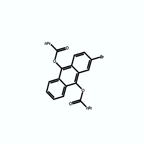 CCCC(=O)Oc1c2ccccc2c(OC(=O)CCC)c2cc(Br)ccc12